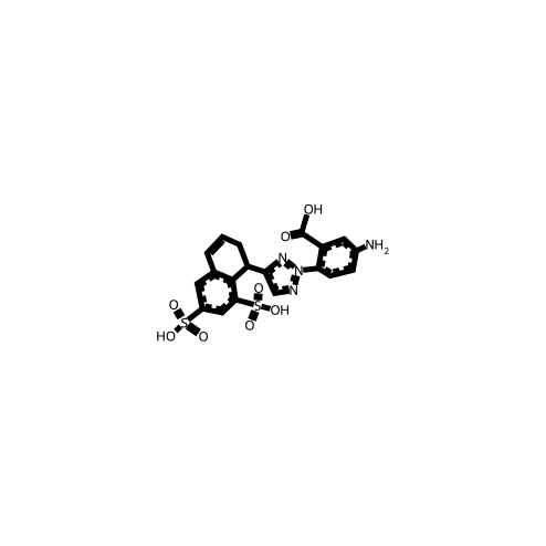 Nc1ccc(-n2ncc(C3CC=Cc4cc(S(=O)(=O)O)cc(S(=O)(=O)O)c43)n2)c(C(=O)O)c1